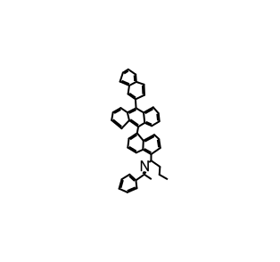 CCCC(/N=C(\C)c1ccccc1)c1cccc2c(-c3c4ccccc4c(-c4ccc5ccccc5c4)c4ccccc34)cccc12